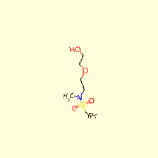 CC(C)S(=O)(=O)N(C)CCOCCO